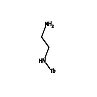 NCC[NH][Tb]